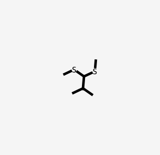 CSC(SC)[C](C)C